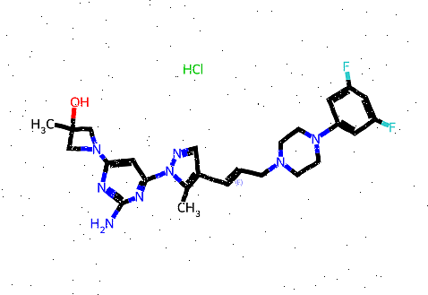 Cc1c(/C=C/CN2CCN(c3cc(F)cc(F)c3)CC2)cnn1-c1cc(N2CC(C)(O)C2)nc(N)n1.Cl